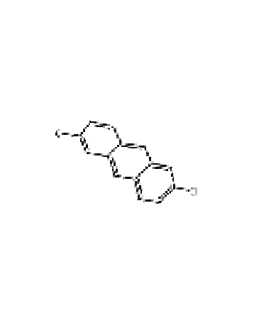 Clc1[c]cc2cc3cc(Cl)[c]cc3cc2c1